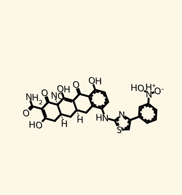 NC(=O)C1=C(O)C[C@@H]2C[C@@H]3Cc4c(Nc5nc(-c6cccc([NH+]([O-])O)c6)cs5)ccc(O)c4C(=O)C3=C(O)[C@]2(N=O)C1=O